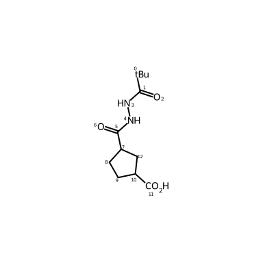 CC(C)(C)C(=O)NNC(=O)C1CCC(C(=O)O)C1